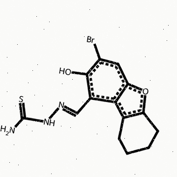 NC(=S)N/N=C/c1c(O)c(Br)cc2oc3c(c12)CCCC3